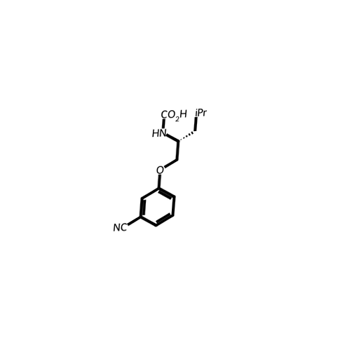 CC(C)C[C@H](COc1cccc(C#N)c1)NC(=O)O